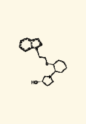 O[C@H]1CCN(C2CCCCC2OCCn2ccc3ccccc32)C1